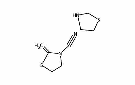 C1CSCN1.C=C1SCCN1C#N